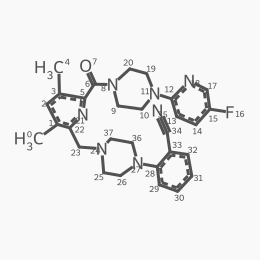 Cc1cc(C)c(C(=O)N2CCN(c3ccc(F)cn3)CC2)nc1CN1CCN(c2ccccc2C#N)CC1